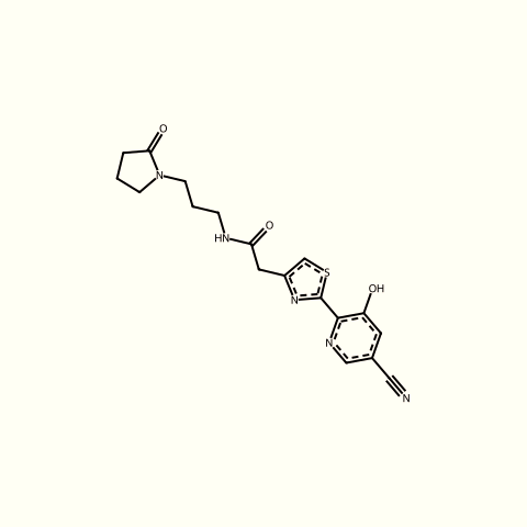 N#Cc1cnc(-c2nc(CC(=O)NCCCN3CCCC3=O)cs2)c(O)c1